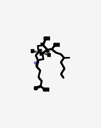 CCCCC(C)CCC(O)[C@H]1[C@H]2C/C(=C\CCCC(=O)O)C[C@H]2C[C@H]1O